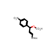 CCCCCCC=CC(OC(=O)O)c1ccc([N+](=O)[O-])cc1